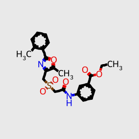 CCOC(=O)c1cccc(NC(=O)CS(=O)(=O)Cc2nc(-c3ccccc3C)oc2C)c1